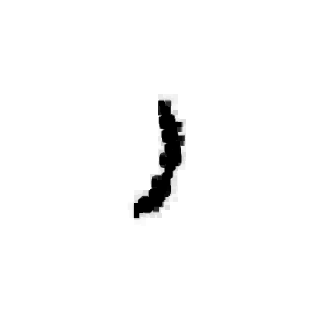 N#Cc1ccc(-c2ccc(-c3ccc(OC(=O)CCCCCC(=O)Oc4ccc(-c5ccc(F)cc5)c(F)c4)cc3F)cc2F)cc1